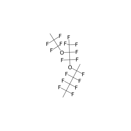 CC(F)(F)C(F)(F)OC(F)(C(F)(F)F)C(F)(F)OC(C)(F)C(F)(F)C(F)(F)C(C)(F)F